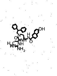 CCC(NC(=N)N)[C@@H]1N[C@H](CNC(=O)c2ccc3cc(O)ccc3c2)CCN(CC(c2ccccc2)c2ccccc2)C1=O